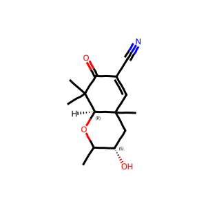 CC1O[C@@H]2C(C)(C=C(C#N)C(=O)C2(C)C)C[C@@H]1O